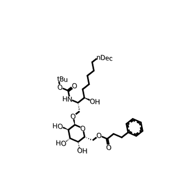 CCCCCCCCCCCCCCC[C@@H](O)[C@H](CO[C@H]1O[C@H](COC(=O)CCc2ccccc2)[C@H](O)[C@H](O)[C@H]1O)NC(=O)OC(C)(C)C